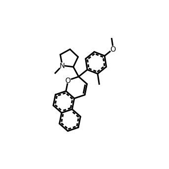 COc1ccc(C2(C3CCCN3C)C=Cc3c(ccc4ccccc34)O2)c(C)c1